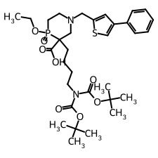 CCOP1(=O)CCN(Cc2cc(-c3ccccc3)cs2)CC1(CCCCN(C(=O)OC(C)(C)C)C(=O)OC(C)(C)C)C(=O)O